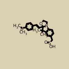 CN(C)c1ccc(C=CC23OCCN2c2ccc(CS(=O)O)cc2C3(C)C)cc1